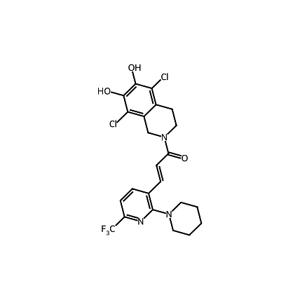 O=C(/C=C/c1ccc(C(F)(F)F)nc1N1CCCCC1)N1CCc2c(Cl)c(O)c(O)c(Cl)c2C1